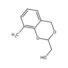 Cc1cccc2c1OC(CO)OC2